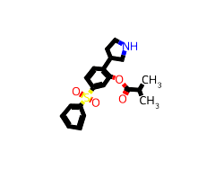 CC(C)C(=O)Oc1cc(S(=O)(=O)c2ccccc2)ccc1C1CCNC1